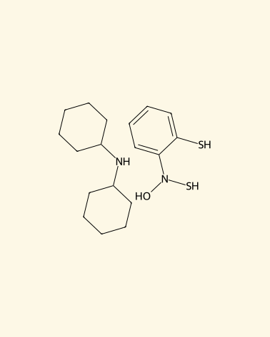 C1CCC(NC2CCCCC2)CC1.ON(S)c1ccccc1S